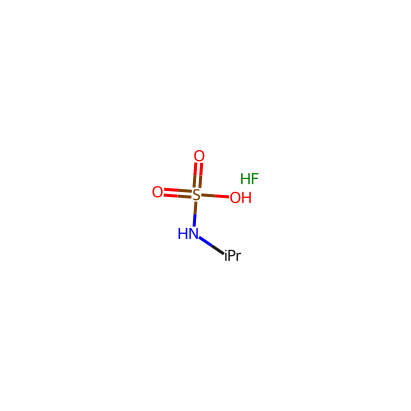 CC(C)NS(=O)(=O)O.F